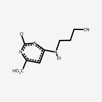 CCN(CCCC#N)c1cc(C(=O)O)nc(Cl)n1